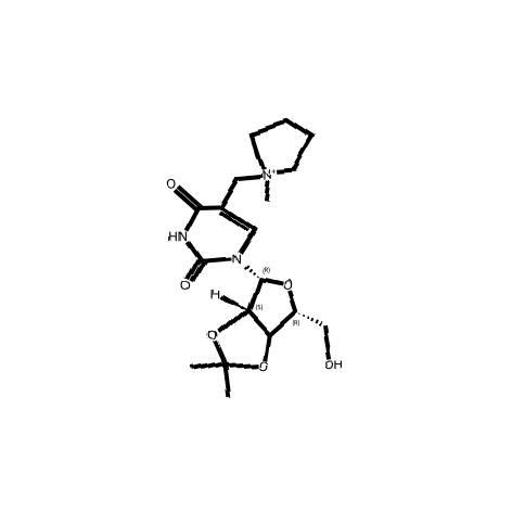 CC1(C)OC2[C@@H](CO)O[C@@H](n3cc(C[N+]4(C)CCCC4)c(=O)[nH]c3=O)[C@H]2O1